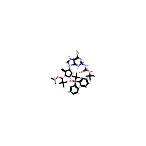 C=C1[C@@H](C(O[SiH](C)C)C(C)(C)C)[C@@H](O[Si](c2ccccc2)(c2ccccc2)C(C)(C)C)C[C@@H]1n1cnc2c(Cl)nc(NC(=O)OC(C)(C)C)nc21